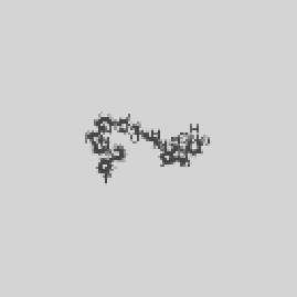 O=C(CN1CCN(c2cccc(-c3cnc4ccc(N5CCCC5c5cccc(F)c5)nn34)n2)CC1)NCCCNc1cccc2c1C(=O)N(C1CCC(=O)NC1=O)C2=O